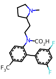 CN1CCCC1CCN(C(=O)O)c1ccc(C(F)(F)F)cc1-c1cc(F)cc(F)c1